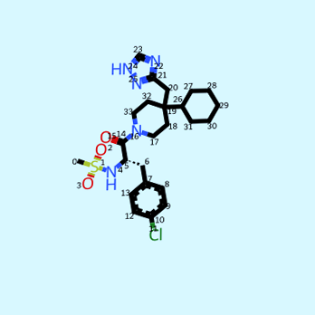 CS(=O)(=O)N[C@@H](Cc1ccc(Cl)cc1)C(=O)N1CCC(Cc2nc[nH]n2)(C2CCCCC2)CC1